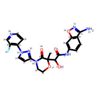 CC1(C(O)C(=O)Nc2ccc3c(N)noc3c2)OCCN(c2ccn(-c3ccncc3F)n2)C1=O